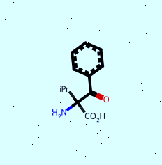 CC(C)C(N)(C(=O)O)C(=O)c1ccccc1